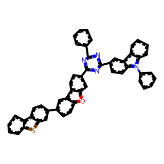 c1ccc(-c2nc(-c3ccc4c(c3)oc3ccc(-c5ccc6c(c5)sc5ccccc56)cc34)nc(-c3ccc4c(c3)c3ccccc3n4-c3ccccc3)n2)cc1